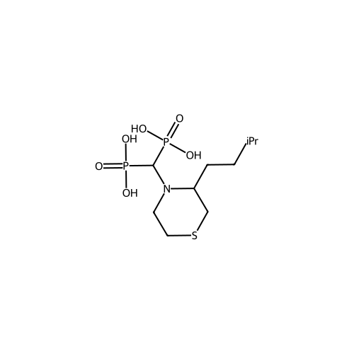 CC(C)CCC1CSCCN1C(P(=O)(O)O)P(=O)(O)O